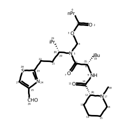 CCCC(=O)OCN(C(=O)[C@@H](NC(=O)[C@H]1CCCCN1C)C(C)CC)[C@H](CCc1nc(C=O)cs1)C(C)C